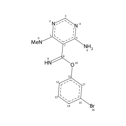 CNc1ncnc(N)c1C(=N)Oc1cccc(Br)c1